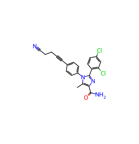 Cc1c(C(N)=O)nc(-c2ccc(Cl)cc2Cl)n1-c1ccc(C#CCCC#N)cc1